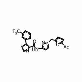 CC(=O)c1ccc(Cn2ccc(NC(=O)c3ncsc3-c3cccc(C(F)(F)F)c3)n2)o1